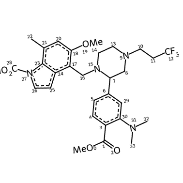 COC(=O)c1ccc(C2CN(CCC(F)(F)F)CCN2Cc2c(OC)cc(C)c3c2ccn3C(=O)O)cc1N(C)C